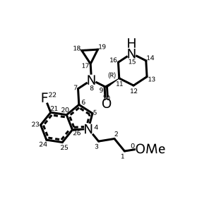 COCCCn1cc(CN(C(=O)[C@@H]2CCCNC2)C2CC2)c2c(F)cccc21